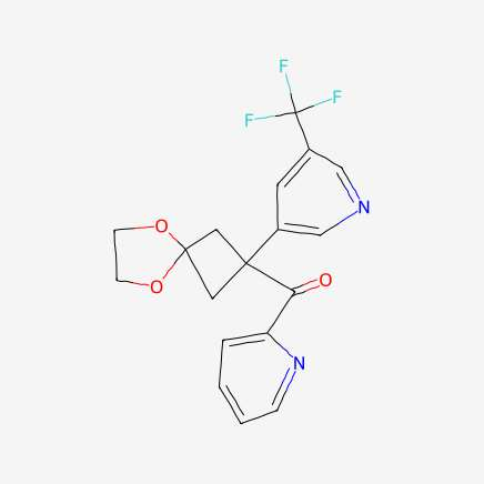 O=C(c1ccccn1)C1(c2cncc(C(F)(F)F)c2)CC2(C1)OCCO2